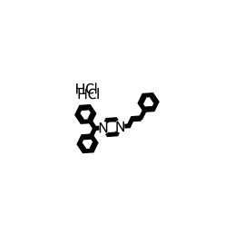 C(=Cc1ccccc1)CN1CCN(C(c2ccccc2)c2ccccc2)CC1.Cl.Cl